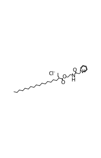 CCCCCCCCCCCCCCCCC(I)C(=O)OCCNC(=O)C[n+]1ccccc1.[Cl-]